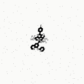 C[C@]1(C(N)=O)COc2c1cc(C(O)(CNC(=O)c1cc(Oc3ccccn3)c3ncccc3c1)C(F)(F)F)nc2-c1ccc(F)cc1